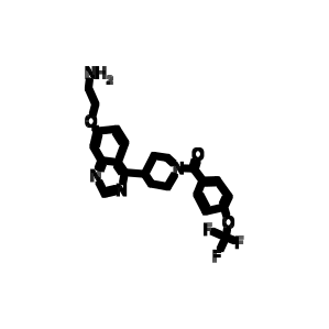 NCCOc1ccc2c(C3CCN(C(=O)c4ccc(OC(F)(F)F)cc4)CC3)ncnc2c1